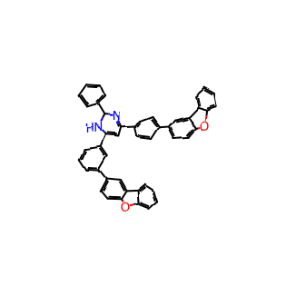 C1=C(c2cccc(-c3ccc4oc5ccccc5c4c3)c2)NC(c2ccccc2)N=C1c1ccc(-c2ccc3oc4ccccc4c3c2)cc1